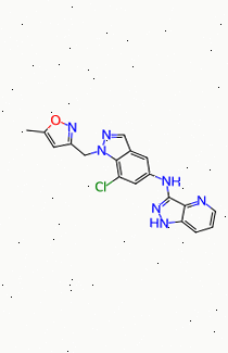 Cc1cc(Cn2ncc3cc(Nc4n[nH]c5cccnc45)cc(Cl)c32)no1